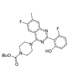 Cc1cc2nc(-c3c(O)cccc3F)nc(N3CCN(C(=O)OCC(C)C)CC3)c2cc1F